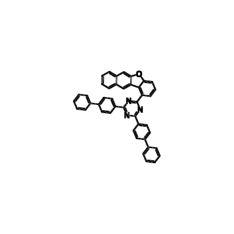 c1ccc(-c2ccc(-c3nc(-c4ccc(-c5ccccc5)cc4)nc(-c4cccc5oc6cc7ccccc7cc6c45)n3)cc2)cc1